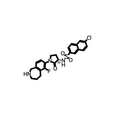 O=C1[C@@H](NS(=O)(=O)c2ccc3cc(Cl)ccc3c2)CCN1c1ccc2c(c1F)CCCNC2